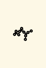 c1ccc(-c2ccc(N(c3ccc(-c4ccccc4)cc3)c3ccc(-n4c5ccccc5c5cc6c(cc54)-c4ccccc4-n4c5ccccc5c5cccc-6c54)cc3)cc2)cc1